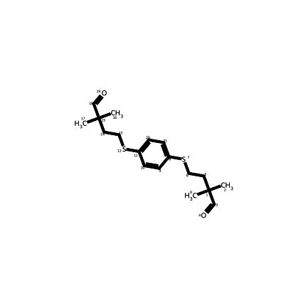 CC(C)(C=O)CCSc1ccc(SCCC(C)(C)C=O)cc1